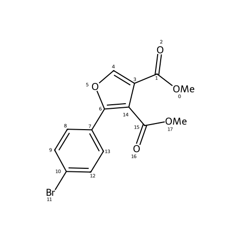 COC(=O)c1coc(-c2ccc(Br)cc2)c1C(=O)OC